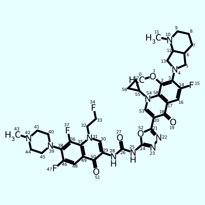 COc1c(N2CC3CCCN(C)C3C2)c(F)cc2c(=O)c(-c3nnc(NC(=O)Nc4cn(CCF)c5c(F)c(N6CCN(C)CC6)c(F)cc5c4=O)o3)cn(C3CC3)c12